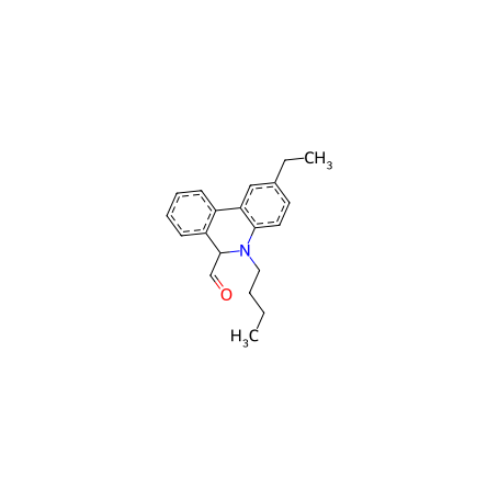 CCCCN1c2ccc(CC)cc2-c2ccccc2C1C=O